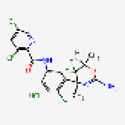 CC1(C)OC(N)=N[C@](C)(c2cc(NC(=O)c3ncc(Cl)cc3Cl)ccc2F)C1(F)F.Cl